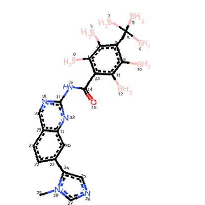 Bc1c(B)c(C(B)(B)B)c(B)c(B)c1C(=O)Nc1ncc2ccc(-c3cncn3C)cc2n1